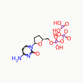 Nc1ccn(C2CC[C@@H](COP(=O)(O)OP(=O)(O)OP(=O)(O)O)O2)c(=O)n1